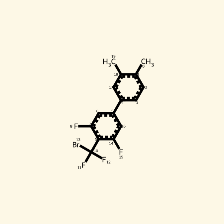 Cc1ccc(-c2cc(F)c(C(F)(F)Br)c(F)c2)cc1C